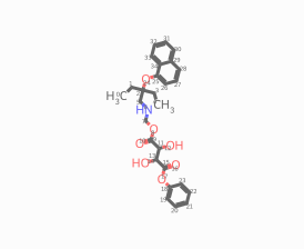 CCC(CC)(CNCOC(=O)C(O)C(O)C(=O)Oc1ccccc1)Oc1cccc2ccccc12